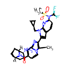 Cc1c(-c2cc3ccc(N(C(F)F)S(C)(=O)=O)nc3n2CC2CC2)nc2cc(C(=O)N3[C@@H]4CC[C@@H](N)[C@H]3CC4)ccn12